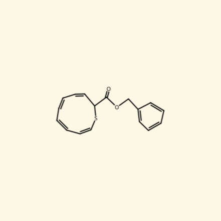 O=C(OCc1ccccc1)C1C=CC=CC=CC=CS1